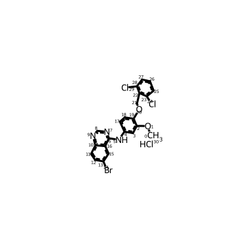 COc1cc(Nc2ncnc3ccc(Br)cc23)ccc1OCc1c(Cl)cccc1Cl.Cl